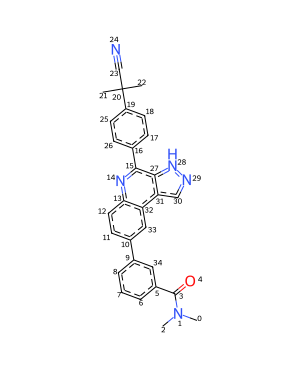 CN(C)C(=O)c1cccc(-c2ccc3nc(-c4ccc(C(C)(C)C#N)cc4)c4[nH]ncc4c3c2)c1